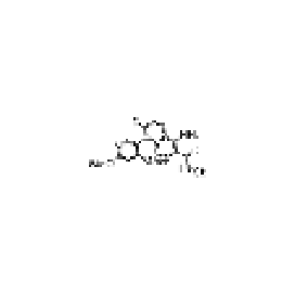 CCNC(=O)c1nnc2c(-c3cnc(OC)cc3OC)c(F)ccc2c1N